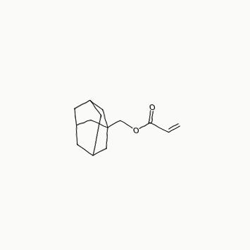 C=CC(=O)OCC12CC3CC(CC(C3)C1)C2